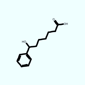 O=C(O)CCCCCC(O)c1ccccc1